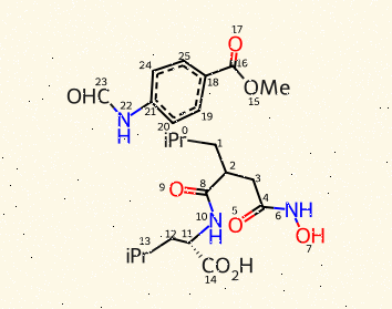 CC(C)CC(CC(=O)NO)C(=O)N[C@@H](CC(C)C)C(=O)O.COC(=O)c1ccc(NC=O)cc1